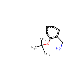 CC(C)(C)Oc1ccccc1CN